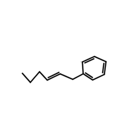 CCCC=CCc1[c]cccc1